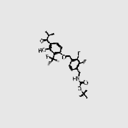 CC(C)C(=O)c1ccc(OCc2ccc(CNC(=O)OC(C)(C)C)c(F)c2F)c(C(F)(F)F)c1O